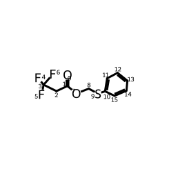 O=C(CC(F)(F)F)OCSc1ccccc1